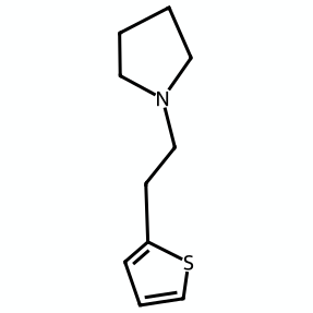 c1csc(CCN2CCCC2)c1